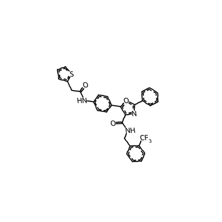 O=C(Cc1cccs1)Nc1ccc(-c2oc(-c3ccccc3)nc2C(=O)NCc2ccccc2C(F)(F)F)cc1